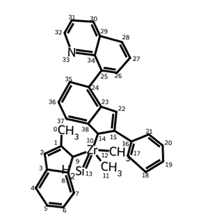 CC1=Cc2ccccc2[CH]1[Zr]([CH3])([CH3])(=[SiH2])[CH]1C(c2ccccc2)=Cc2c(-c3cccc4cccnc34)cccc21